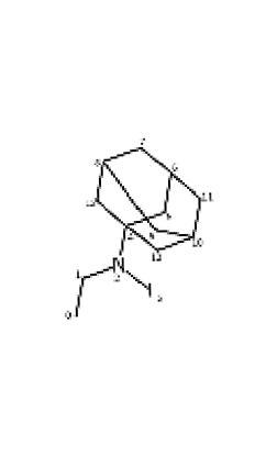 CCN(I)C12CC3CC(CC(C3)C1)C2